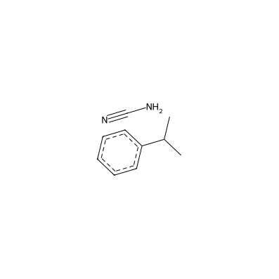 CC(C)c1ccccc1.N#CN